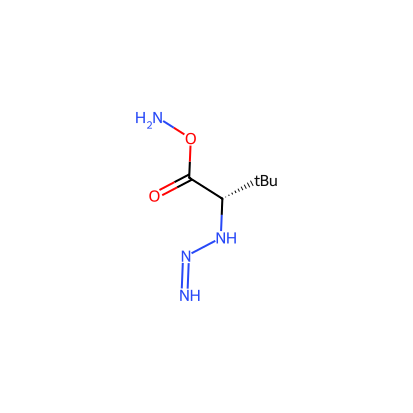 CC(C)(C)[C@H](NN=N)C(=O)ON